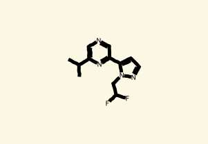 CC(C)c1cncc(-c2ccnn2CC(F)F)n1